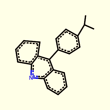 CC(C)c1ccc(-c2c3ccccc3nc3ccccc23)cc1